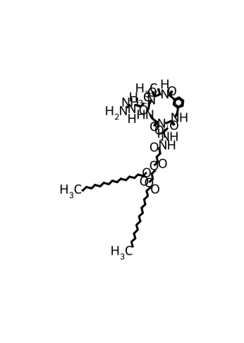 CCCCCCCCCCCCCCCC(=O)OCC(COC(=O)CCC(=O)NCNC(=O)C[C@@H]1NC(=O)CNC(=O)[C@H](CCCNC(=N)N)N(C)C(=O)C(CC)NC(=O)c2cccc(c2)CNC1=O)OC(=O)CCCCCCCCCCCCCCC